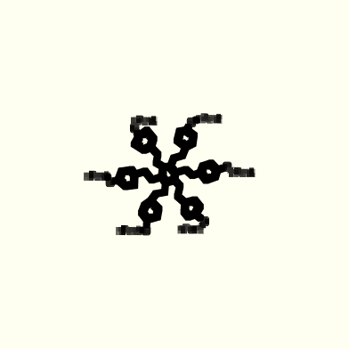 CCCCCOc1ccc(CCc2c(CCc3ccc(OCCCCC)cc3)c(CCc3ccc(OCCCCC)cc3)c(CCc3ccc(OCCCCC)cc3)c(CCc3ccc(OCCCCC)cc3)c2CCc2ccc(OCCCCC)cc2)cc1